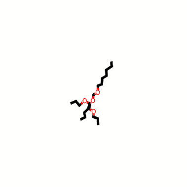 CCCCCCCOCOC(OCCC)=C(CCC)OCCC